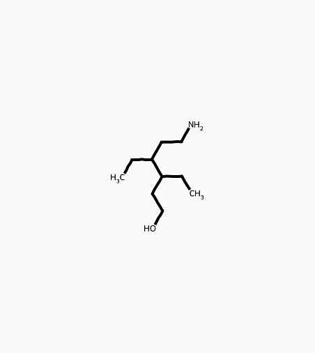 CCC(CCN)C(CC)CCO